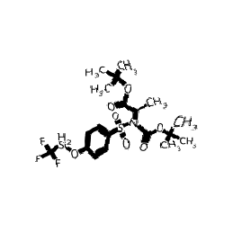 C[C@H](C(=O)OC(C)(C)C)N(C(=O)OC(C)(C)C)S(=O)(=O)c1ccc(O[SiH2]C(F)(F)F)cc1